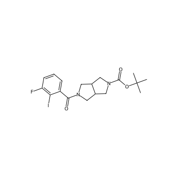 CC(C)(C)OC(=O)N1CC2CN(C(=O)c3cccc(F)c3I)CC2C1